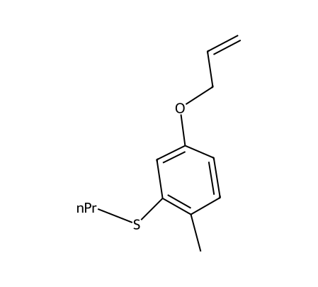 C=CCOc1ccc(C)c(SCCC)c1